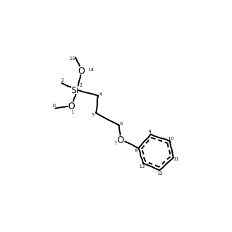 CO[Si](C)(CCCOc1ccccc1)OC